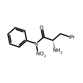 CC(C)C[C@H](N)C(=O)N(c1ccccc1)[N+](=O)[O-]